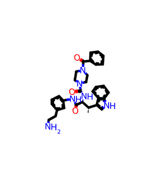 C[C@@H](c1c[nH]c2ccccc12)[C@@H](NC(=O)N1CCN(C(=O)c2ccccc2)CC1)C(=O)Nc1cccc(CCN)c1